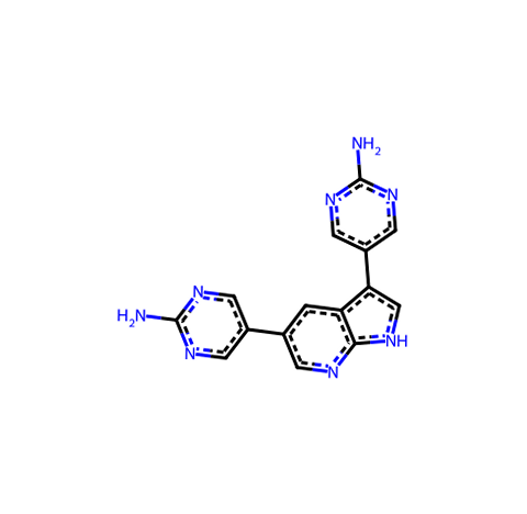 Nc1ncc(-c2cnc3[nH]cc(-c4cnc(N)nc4)c3c2)cn1